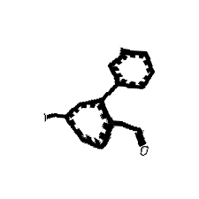 O=[C]c1ccc(I)cc1-c1ccccc1